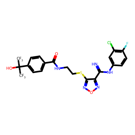 N=C(Nc1ccc(F)c(Cl)c1)c1nonc1SCCNC(=O)c1ccc(C(O)(C(F)(F)F)C(F)(F)F)cc1